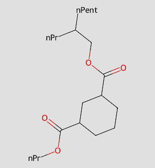 CCCCCC(CCC)COC(=O)C1CCCC(C(=O)OCCC)C1